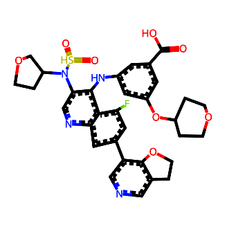 O=C(O)c1cc(Nc2c(N(C3CCOC3)[SH](=O)=O)cnc3cc(-c4cncc5c4OCC5)cc(F)c23)cc(OC2CCOCC2)c1